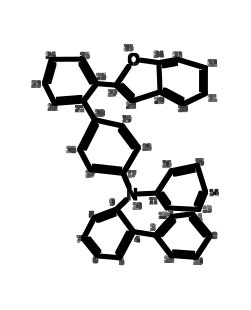 c1ccc(-c2ccccc2N(c2ccccc2)c2ccc(-c3ccccc3-c3cc4ccccc4o3)cc2)cc1